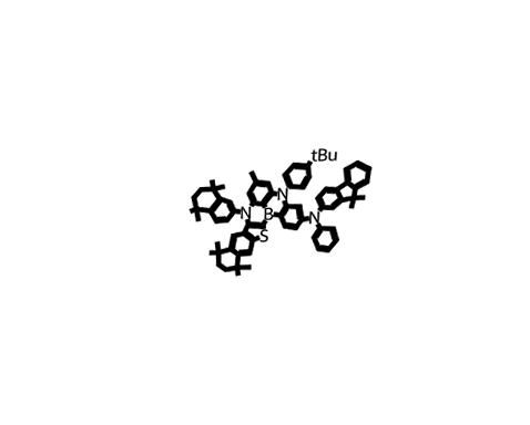 Cc1cc2c3c(c1)N(c1ccc4c(c1)C(C)(C)CCC4(C)C)c1c(sc4cc5c(cc14)C(C)(C)CCC5(C)C)B3c1ccc(N(c3ccccc3)c3ccc4c(c3)C(C)(C)c3ccccc3-4)cc1N2c1ccc(C(C)(C)C)cc1